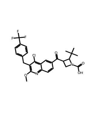 COc1nc2ccc(C(=O)C3CN(C(=O)O)C3C(C)(C)C)cc2c(Cl)c1Cc1ccc(C(F)(F)F)cc1